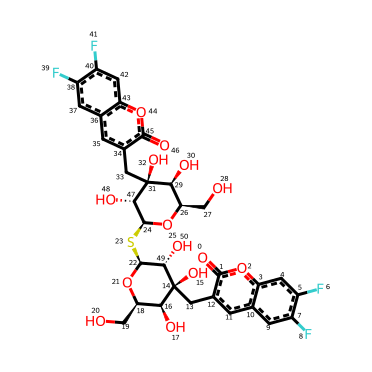 O=c1oc2cc(F)c(F)cc2cc1C[C@]1(O)[C@@H](O)[C@@H](CO)O[C@@H](S[C@@H]2O[C@H](CO)[C@H](O)[C@@](O)(Cc3cc4cc(F)c(F)cc4oc3=O)[C@H]2O)[C@@H]1O